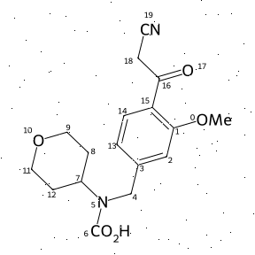 COc1cc(CN(C(=O)O)C2CCOCC2)ccc1C(=O)CC#N